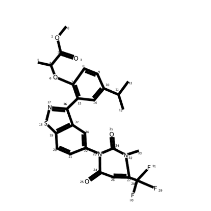 COC(=O)C(C)Oc1ccc(C(C)C)cc1-c1nsc2ccc(-n3c(=O)cc(C(F)(F)F)n(C)c3=O)cc12